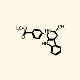 COC(=O)c1ccc([C@@H]2N[C@@H](C)Cc3c2[nH]c2ccccc32)cc1